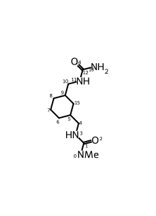 CNC(=O)NCC1CCCC(CNC(N)=O)C1